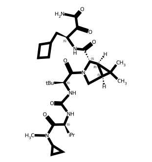 CC(C)[C@H](NC(=O)N[C@H](C(=O)N1C[C@H]2[C@@H]([C@H]1C(=O)N[C@@H](CC1CCC1)C(=O)C(N)=O)C2(C)C)C(C)(C)C)C(=O)N(C)C1CC1